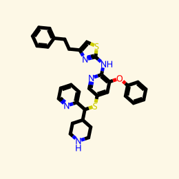 c1ccc(CCc2csc(Nc3ncc(SC(c4ccccn4)C4CCNCC4)cc3Oc3ccccc3)n2)cc1